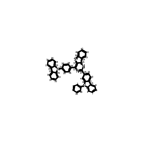 c1ccc(-n2c3ccccc3c3ccc(-c4nc(-c5ccc(-n6c7ccccc7c7ccccc76)cc5)c5sc6ccccc6c5n4)cc32)cc1